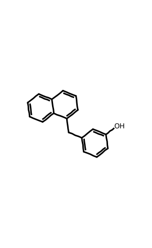 Oc1cccc(Cc2cccc3ccccc23)c1